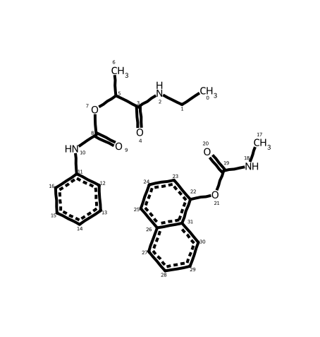 CCNC(=O)C(C)OC(=O)Nc1ccccc1.CNC(=O)Oc1cccc2ccccc12